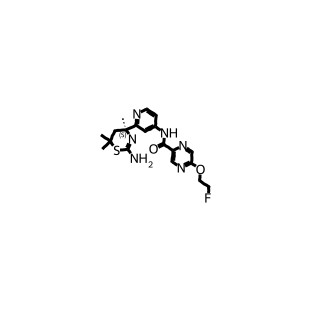 CC1(C)C[C@@](C)(c2cc(NC(=O)c3cnc(OCCF)cn3)ccn2)N=C(N)S1